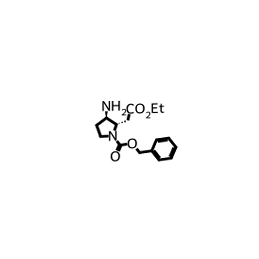 CCOC(=O)C[C@H]1[C@H](N)CCN1C(=O)OCc1ccccc1